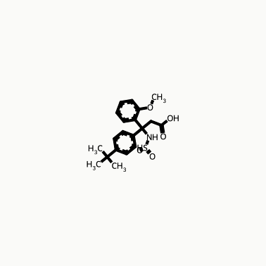 COc1ccccc1C(CC(=O)O)(N[SH](=O)=O)c1ccc(C(C)(C)C)cc1